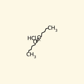 CCCCCO[P]OCCCCC.Cl